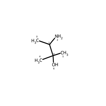 C[C](N)C(C)(C)O